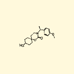 COc1ccc([C@H](C)N2CCC3(CCC(O)CC3)OC2=O)cc1